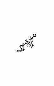 O=CNc1cncc(SCC2=C(C(=O)O)N3C(=O)C(NC(=O)COc4ccccc4)[C@@H]3SC2)n1